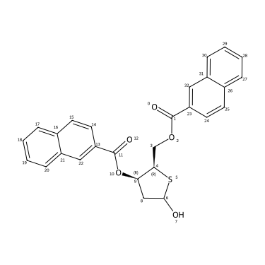 O=C(OC[C@H]1SC(O)C[C@H]1OC(=O)c1ccc2ccccc2c1)c1ccc2ccccc2c1